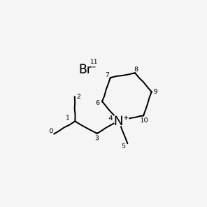 CC(C)C[N+]1(C)CCCCC1.[Br-]